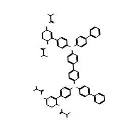 CC(F)C(=O)OC1CCC(OC(=O)C(F)F)C=C1c1ccc(N(c2ccc(-c3ccccc3)cc2)c2ccc(-c3ccc(N(c4ccc(C5=CC(OC(=O)C(F)F)CCC5OC(=O)C(F)F)cc4)c4ccc(-c5ccccc5)cc4)cc3)cc2)cc1